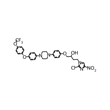 O=[N+]([O-])c1cn(CCC(O)COc2ccc(N3CCN(c4ccc(Oc5ccc(OC(F)(F)F)cc5)cc4)CC3)cc2)c(Cl)n1